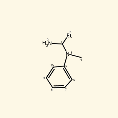 [CH2]CC(N)N(C)c1ccccc1